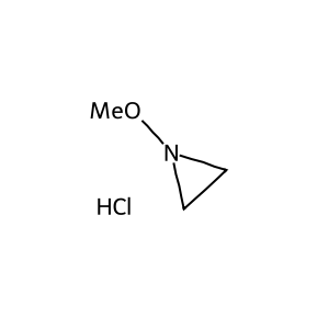 CON1CC1.Cl